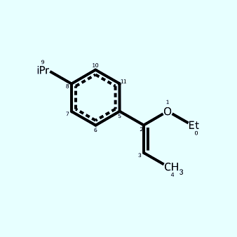 [CH2]COC(=CC)c1ccc(C(C)C)cc1